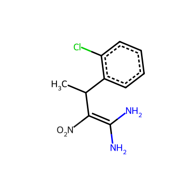 CC(C(=C(N)N)[N+](=O)[O-])c1ccccc1Cl